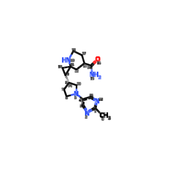 Cc1ncc(N2CC[C@H](C3CC34CC(C(N)=O)CCN4)C2)cn1